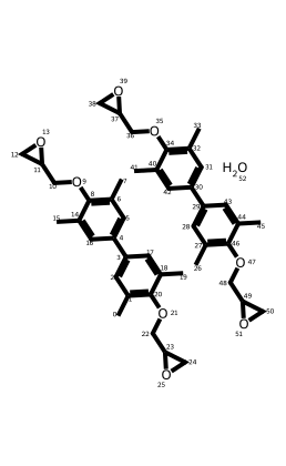 Cc1cc(-c2cc(C)c(OCC3CO3)c(C)c2)cc(C)c1OCC1CO1.Cc1cc(-c2cc(C)c(OCC3CO3)c(C)c2)cc(C)c1OCC1CO1.O